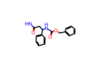 [NH]C(=O)CC(NC(=O)OCc1ccccc1)c1ccccc1